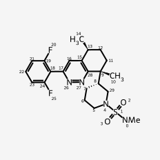 CNS(=O)(=O)N1CCC[C@H]([C@@]2(C)CC[C@H](C)c3cc(-c4c(F)cccc4F)nnc32)C1